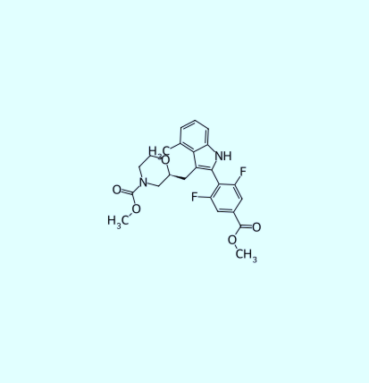 COC(=O)c1cc(F)c(-c2[nH]c3cccc(C)c3c2C[C@H]2CN(C(=O)OC)CCO2)c(F)c1